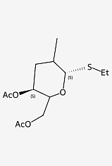 CCS[C@@H]1OC(COC(C)=O)[C@@H](OC(C)=O)CC1C